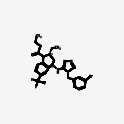 CCOC(=O)N1c2ccc(C(F)(F)F)cc2[C@@H](Nc2nnnn2Cc2cccc(Br)c2)C[C@H]1CC